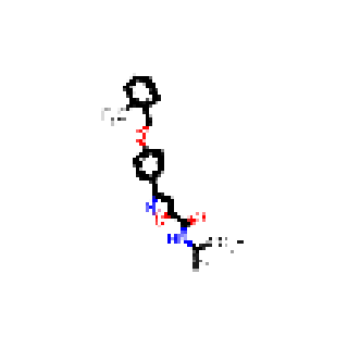 CC(C)C(NC(=O)c1cc(-c2ccc(OCc3ccccc3C(F)(F)F)cc2)no1)C(=O)O